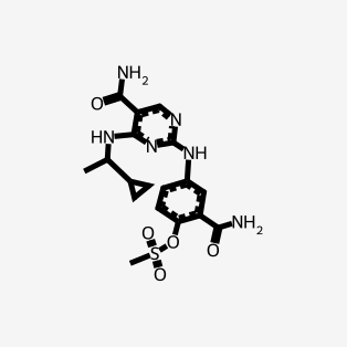 CC(Nc1nc(Nc2ccc(OS(C)(=O)=O)c(C(N)=O)c2)ncc1C(N)=O)C1CC1